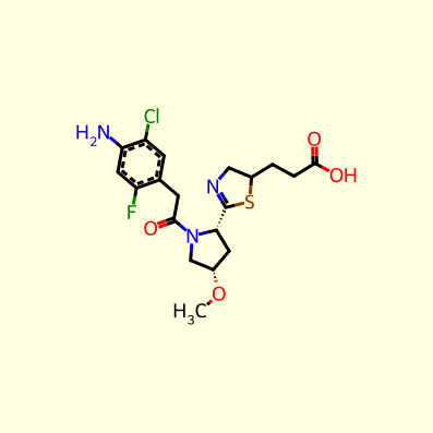 CO[C@H]1C[C@@H](C2=NCC(CCC(=O)O)S2)N(C(=O)Cc2cc(Cl)c(N)cc2F)C1